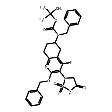 CC(C)(C)OC(=O)N(Cc1ccccc1)C1CCc2nc(OCc3ccccc3)c(N3CC(=O)NS3(=O)=O)c(F)c2C1